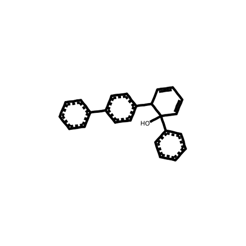 OC1(c2ccccc2)C=CC=CC1c1ccc(-c2ccccc2)cc1